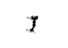 C=C(C)C(=O)OCCCc1ccc(-c2ccc(OCC3(COC(=O)C(=C)C)COC(=O)OC3)cc2)cc1